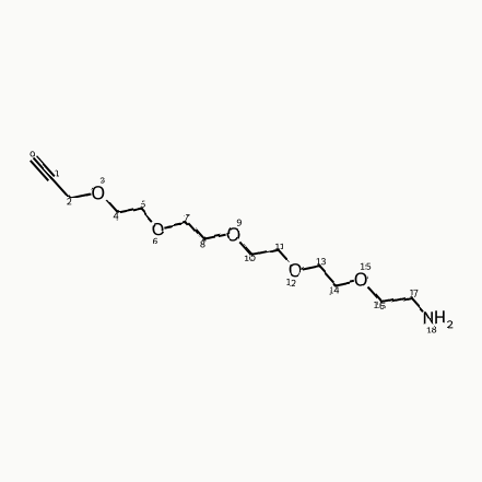 C#CCOCCOCCOCCOCCOCCN